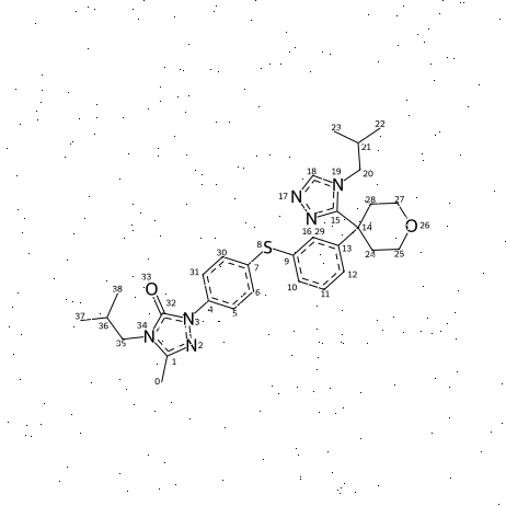 Cc1nn(-c2ccc(Sc3cccc(C4(c5nncn5CC(C)C)CCOCC4)c3)cc2)c(=O)n1CC(C)C